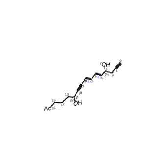 C#CC[C@@H](O)/C=C/C=C/C#C[C@@H](O)CCCC(C)=O